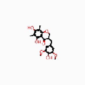 COc1cc(CC2COc3c(C)c(O)c(C)c(O)c3C2=O)cc(OC)c1O